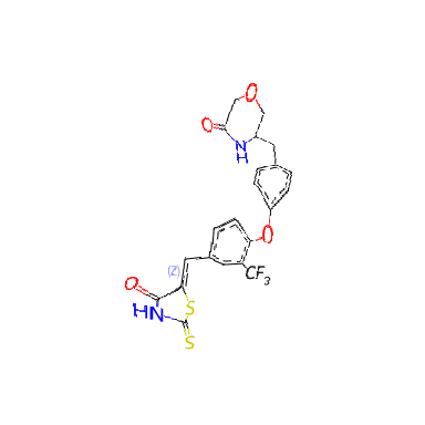 O=C1COCC(Cc2ccc(Oc3ccc(/C=C4\SC(=S)NC4=O)cc3C(F)(F)F)cc2)N1